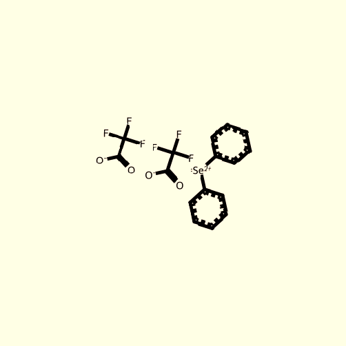 O=C([O-])C(F)(F)F.O=C([O-])C(F)(F)F.c1ccc([Se+2]c2ccccc2)cc1